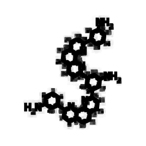 Nc1cccc(-c2ccc3ccc4ccc(-c5cc(N)cc(-c6ccc7ccc8ccc(-c9cccc(N)c9)nc8c7n6)c5)nc4c3n2)c1